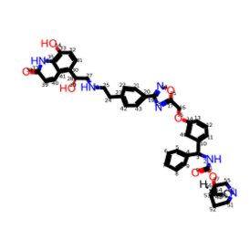 O=C(NC(c1ccccc1)c1cccc(OCc2nc(-c3ccc(CCNC[C@@H](O)c4ccc(O)c5[nH]c(=O)ccc45)cc3)no2)c1)O[C@H]1CN2CCC1CC2